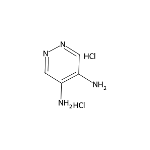 Cl.Cl.Nc1cnncc1N